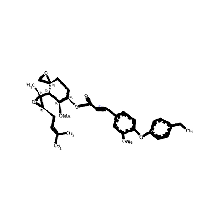 COc1cc(/C=C/C(=O)O[C@@H]2CC[C@]3(CO3)[C@@H]([C@@]3(C)O[C@@H]3CC=C(C)C)[C@@H]2OC)ccc1Oc1ccc(CO)cc1